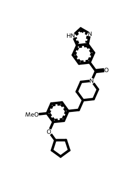 COc1ccc(CC2CCN(C(=O)c3ccc4[nH]cnc4c3)CC2)cc1OC1CCCC1